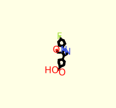 O=Cc1c(-c2ccc(C(=O)O)cc2)cnn1-c1ccc(F)cc1